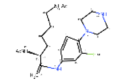 C=C(Nc1ccc(N2CCNCC2)c(F)c1)[C@H](CCCCNC(C)=O)NC(C)=O